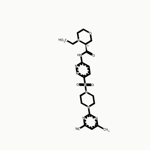 Cc1cc(C#N)nc(N2CCN(S(=O)(=O)c3ccc(NC(=O)[C@@H]4COCCN4CC(=O)O)nn3)CC2)n1